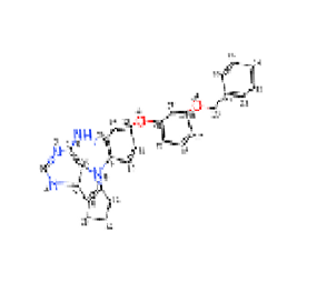 Nc1ncnc2c3c(n(-c4ccc(Oc5cccc(OCc6ccccc6)c5)cc4)c12)CCC3